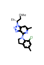 CC[C@H](COC)n1nnc2c(N3CCc4cc(C)cc(Cl)c43)nc(C)cc21